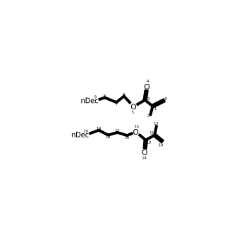 C=C(C)C(=O)OCCCCCCCCCCCCC.C=C(C)C(=O)OCCCCCCCCCCCCCC